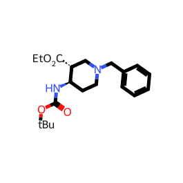 CCOC(=O)[C@@H]1CN(Cc2ccccc2)CC[C@H]1NC(=O)OC(C)(C)C